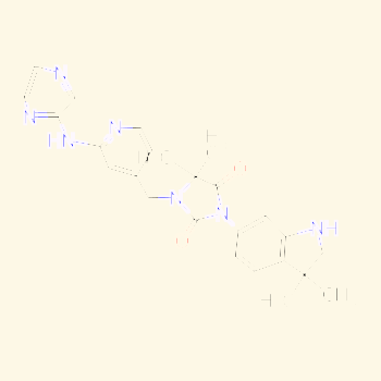 CC1(C)CNc2cc(N3C(=O)N(Cc4ccnc(Nc5cnccn5)c4)C(C)(C)C3=O)ccc21